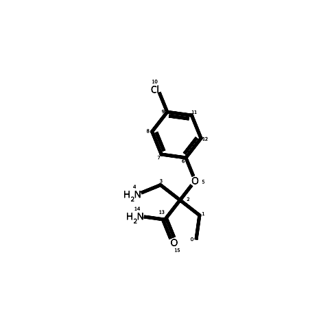 CCC(CN)(Oc1ccc(Cl)cc1)C(N)=O